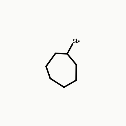 [Sb][CH]1CCCCCC1